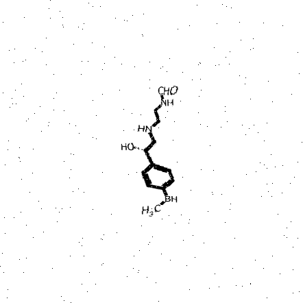 CBc1ccc([C@H](O)CNCCNC=O)cc1